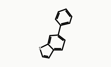 c1ccc(-c2ccc3ccsc3c2)cc1